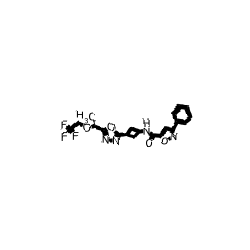 C[C@@H](OCC(F)(F)F)c1nnc(C2CC(NC(=O)c3cc(-c4ccccc4)no3)C2)o1